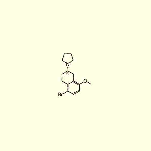 COc1ccc(Br)c2c1C[C@@H](N1CCCC1)CC2